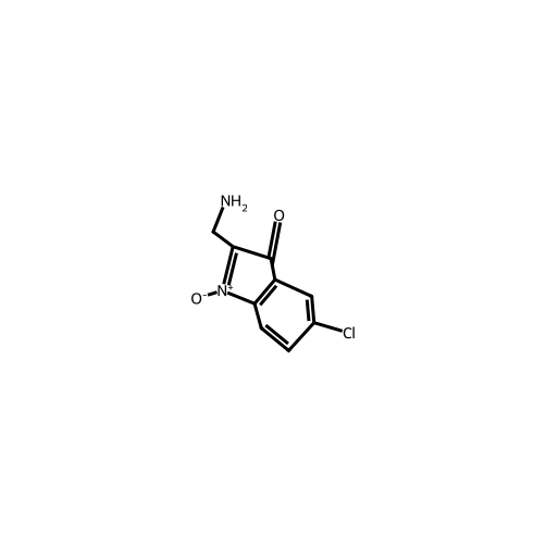 NCC1=[N+]([O-])c2ccc(Cl)cc2C1=O